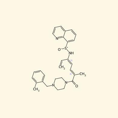 C=C/C(=C\C=C(/C)C(=O)N1CCN(Cc2ccccc2C)CC1)N[S+]([O-])c1cccc2cccnc12